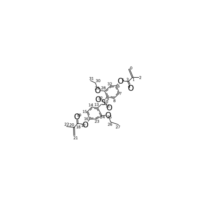 C=C(C)C(=O)Oc1ccc(S(=O)(=O)c2ccc(OC(=O)C(=C)C)cc2OCC)c(OCC)c1